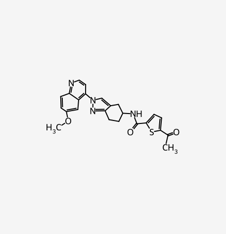 COc1ccc2nccc(-n3cc4c(n3)CCC(NC(=O)c3ccc(C(C)=O)s3)C4)c2c1